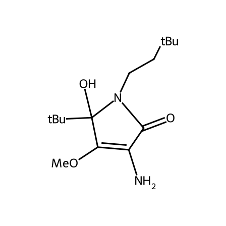 COC1=C(N)C(=O)N(CCC(C)(C)C)C1(O)C(C)(C)C